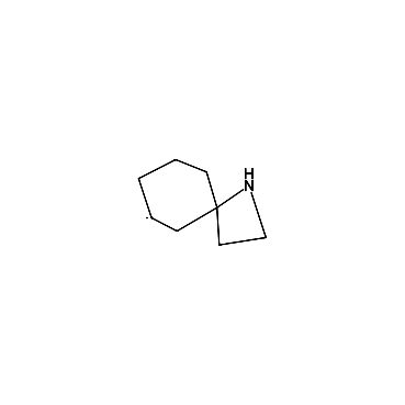 [CH]1CCCC2(C1)CCN2